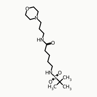 CC(C)(C)S(=O)(=O)NCCCCC(=O)NCCCN1CCOCC1